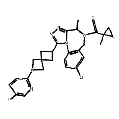 CC1c2nnc(C3CC4(C3)CN(c3ccc(F)cn3)C4)n2-c2ccc(Cl)cc2CN1C(=O)C1(F)CC1